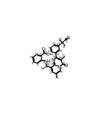 Cc1cc([C@@H](C)Nc2ccccc2C(=O)O)c2nc(-c3cccc(C(C)(C)C#N)c3)c(C)c(=O)n2c1